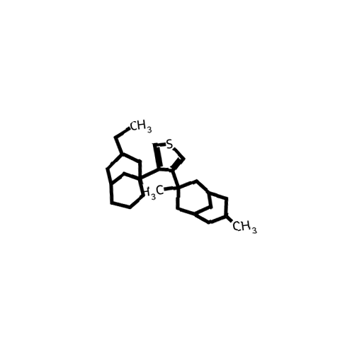 CCC1CC2CCCC(c3cscc3C3(C)CC4CC(C)CC(C4)C3)(C1)C2